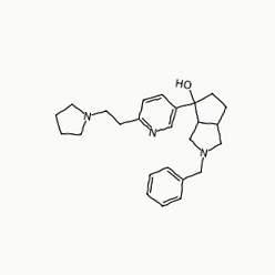 OC1(c2ccc(CCN3CCCC3)nc2)CCC2CN(Cc3ccccc3)CC21